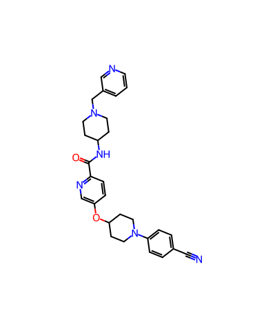 N#Cc1ccc(N2CCC(Oc3ccc(C(=O)NC4CCN(Cc5cccnc5)CC4)nc3)CC2)cc1